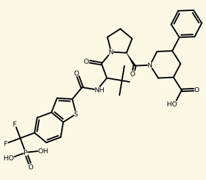 CC(C)(C)C(NC(=O)c1cc2cc(C(F)(F)P(=O)(O)O)ccc2s1)C(=O)N1CCC[C@H]1C(=O)N1CC(C(=O)O)CC(c2ccccc2)C1